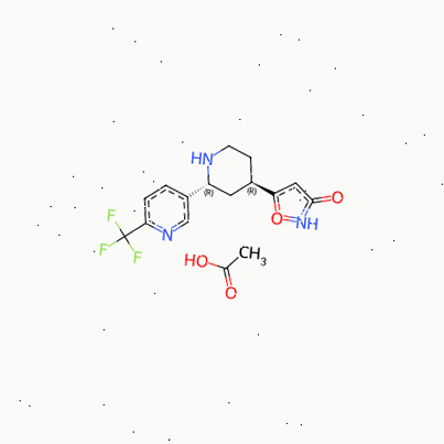 CC(=O)O.O=c1cc([C@@H]2CCN[C@@H](c3ccc(C(F)(F)F)nc3)C2)o[nH]1